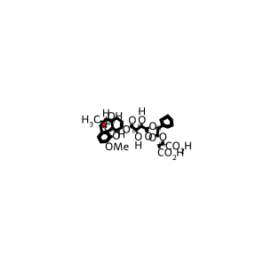 COc1ccc2c3c1O[C@@H]1C(OC(=O)[C@H](O)[C@@H](O)C(=O)O[C@H](C(=O)O[C@@H](CC(=O)O)C(=O)O)c4ccccc4)=CC[C@]4(O)[C@H](C2)N(C)CC[C@@]314